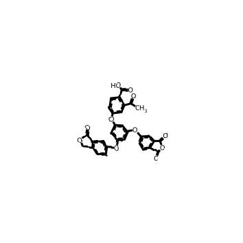 CC(=O)c1cc(Oc2cc(Oc3ccc4c(c3)C(=O)OC4)cc(Oc3ccc4c(c3)C(=O)OC4=O)c2)ccc1C(=O)O